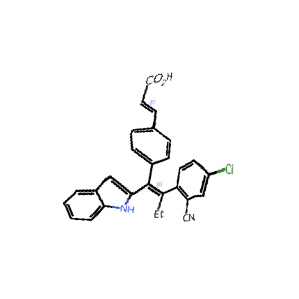 CC/C(=C(/c1ccc(/C=C/C(=O)O)cc1)c1cc2ccccc2[nH]1)c1ccc(Cl)cc1C#N